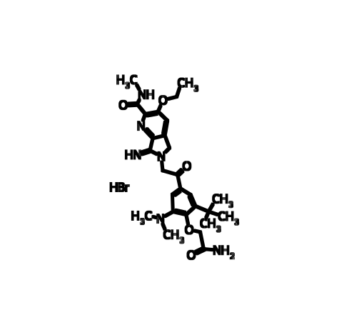 Br.CCOc1cc2c(nc1C(=O)NC)C(=N)N(CC(=O)c1cc(N(C)C)c(OCC(N)=O)c(C(C)(C)C)c1)C2